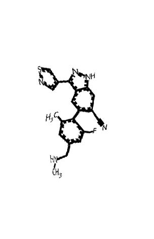 CNCc1cc(C)c(-c2cc3c(-c4cnsc4)n[nH]c3cc2C#N)c(F)c1